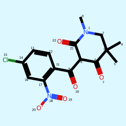 CN1CC(C)(C)C(=O)C(C(=O)c2ccc(Cl)cc2[N+](=O)[O-])C1=O